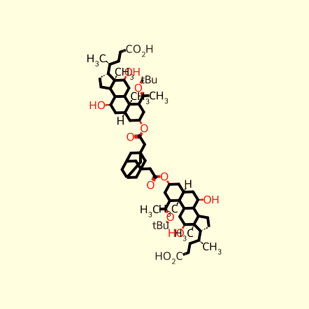 CC(OC(C)(C)C)C1C[C@@H](OC(=O)CC23CC4CC(C2)CC(CC(=O)O[C@@H]2CC(C(C)OC(C)(C)C)[C@]5(C)C6C[C@H](O)[C@@]7(C)C(CC[C@@H]7[C@H](C)CCC(=O)O)C6[C@H](O)C[C@@H]5C2)(C4)C3)C[C@H]2C[C@@H](O)C3C(C[C@H](O)[C@@]4(C)C3CC[C@@H]4[C@H](C)CCC(=O)O)[C@@]12C